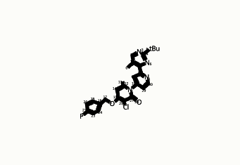 Cc1cnc(C(C)(C)C)nc1-c1cc(-n2c(C)cc(OCc3ccc(F)cc3)c(Cl)c2=O)ccn1